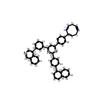 C1#CC/C=C(c2ccc(-c3cc(-c4cccc(-c5cncc6ccccc56)c4)nc(-c4ccc(-c5cccc6ccccc56)cc4)n3)cc2)\C=C/C1